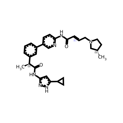 C[C@H]1CCN(C/C=C/C(=O)Nc2ccc(-c3cccc([C@H](C)C(=O)Nc4cc(C5CC5)[nH]n4)c3)cn2)C1